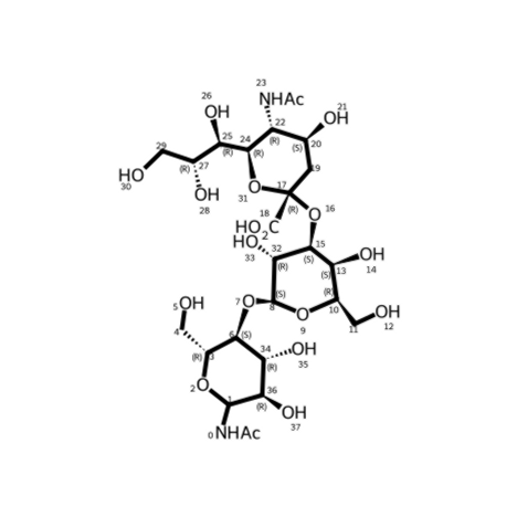 CC(=O)NC1O[C@H](CO)[C@@H](O[C@@H]2O[C@H](CO)[C@H](O)[C@H](O[C@@]3(C(=O)O)C[C@H](O)[C@@H](NC(C)=O)[C@H]([C@H](O)[C@H](O)CO)O3)[C@H]2O)[C@H](O)[C@H]1O